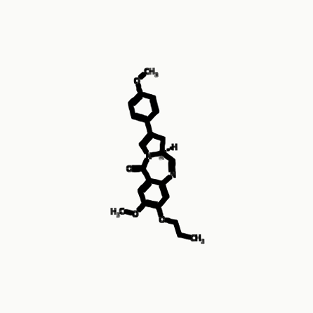 CCCOc1cc2c(cc1OC)C(=O)N1C=C(c3ccc(OC)cc3)C[C@H]1C=N2